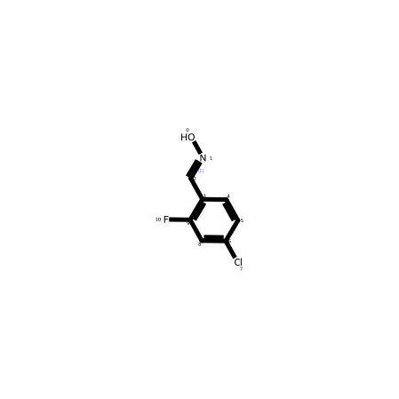 O/N=C/c1ccc(Cl)cc1F